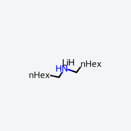 CCCCCCCNCCCCCCC.[LiH]